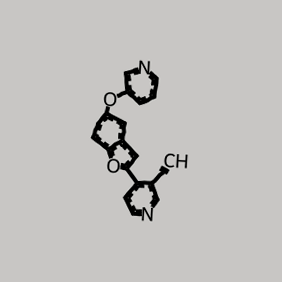 C#Cc1cnccc1-c1cc2cc(Oc3cccnc3)ccc2o1